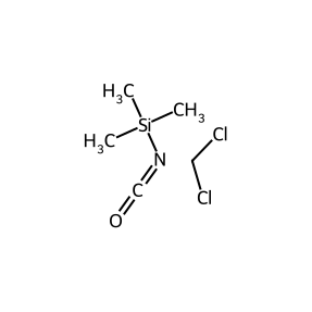 C[Si](C)(C)N=C=O.ClCCl